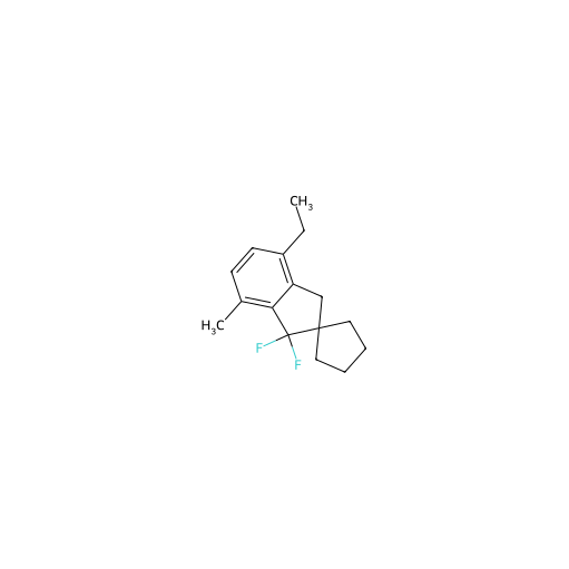 CCc1ccc(C)c2c1CC1(CCCC1)C2(F)F